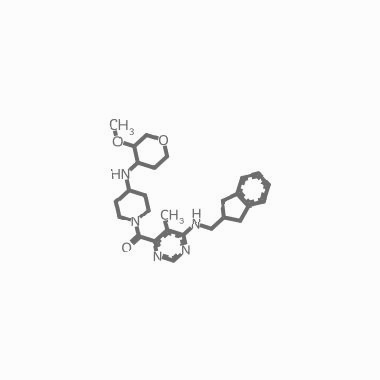 COC1COCCC1NC1CCN(C(=O)c2ncnc(NCC3Cc4ccccc4C3)c2C)CC1